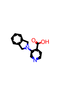 O=C(O)c1ccncc1N1Cc2ccccc2C1